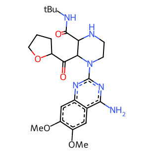 COc1cc2nc(N3CCNC(C(=O)NC(C)(C)C)C3C(=O)C3CCCO3)nc(N)c2cc1OC